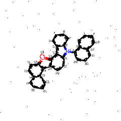 c1ccc2c(-n3c4ccccc4c4c5oc6ccc7ccccc7c6c5ccc43)cccc2c1